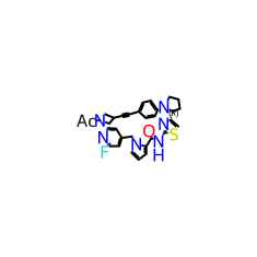 CC(=O)N1CC(C#Cc2ccc(N3CCC[C@@H]3c3csc(NC(=O)c4cccn4Cc4ccnc(F)c4)n3)cc2)C1